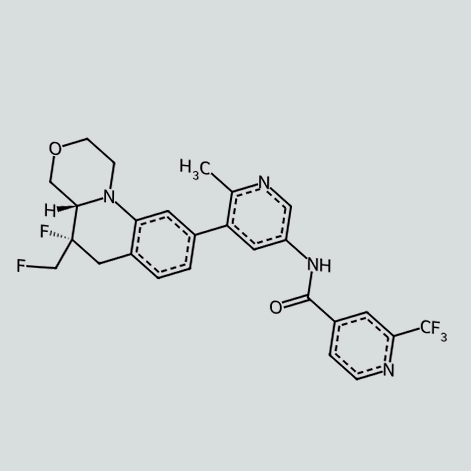 Cc1ncc(NC(=O)c2ccnc(C(F)(F)F)c2)cc1-c1ccc2c(c1)N1CCOC[C@H]1[C@](F)(CF)C2